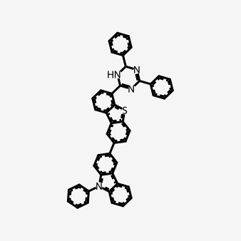 c1ccc(C2=NC(c3ccccc3)NC(c3cccc4c3sc3ccc(-c5ccc6c(c5)c5ccccc5n6-c5ccccc5)cc34)=N2)cc1